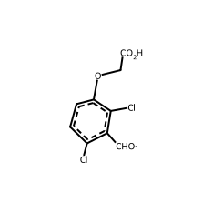 O=[C]c1c(Cl)ccc(OCC(=O)O)c1Cl